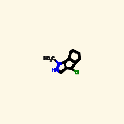 O=C(O)n1[nH]cc2c(Cl)c3ccccc3c1-2